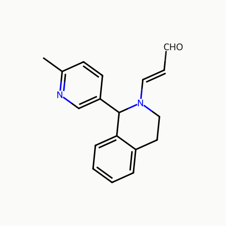 Cc1ccc(C2c3ccccc3CCN2C=CC=O)cn1